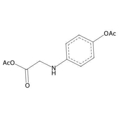 CC(=O)OC(=O)CNc1ccc(OC(C)=O)cc1